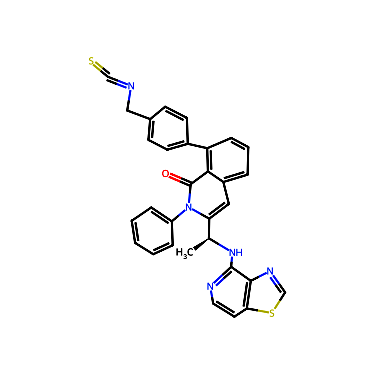 C[C@H](Nc1nccc2scnc12)c1cc2cccc(-c3ccc(CN=C=S)cc3)c2c(=O)n1-c1ccccc1